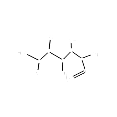 C=II(C)I(C)I(C)I(C)I(C)C